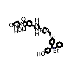 CC/C(=C(\c1ccc(O)cc1)c1ccc(OCCN2CCN(C3CNC(c4ccc5c(c4)C(=O)N(C4CCC(=O)NC4O)C5=O)CN3)CC2)cc1)c1ccccc1